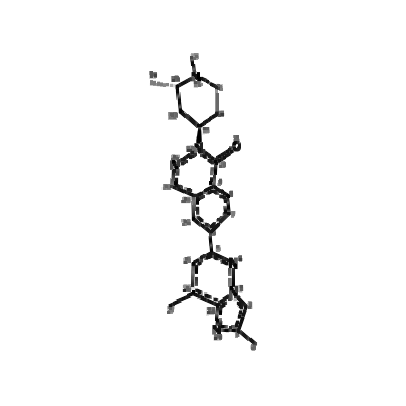 Cc1cn2nc(-c3ccc4c(=O)n([C@@H]5CCN(C)[C@@H](C)C5)ncc4c3)cc(C)c2n1